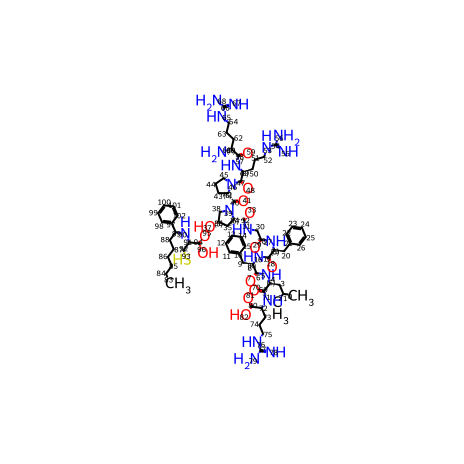 CC(C)C[C@H](NC(=O)[C@@H](Cc1ccccc1)NC(=O)[C@H](Cc1ccccc1)NC(=O)CNC(=O)[C@@H]1C[C@H](O)CN1C(=O)[C@@H]1CCCN1C(=O)[C@H](CCCNC(=N)N)NC(=O)[C@H](N)CCCNC(=N)N)C(=O)NC(CCCNC(=N)N)C(=O)O.CCCCCCC(NC(CS)C(=O)O)c1ccccc1